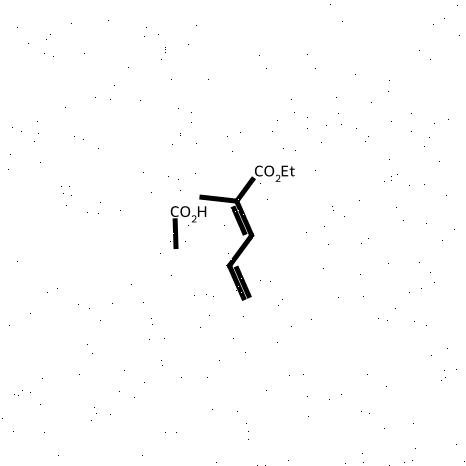 C=CC=C(C)C(=O)OCC.CC(=O)O